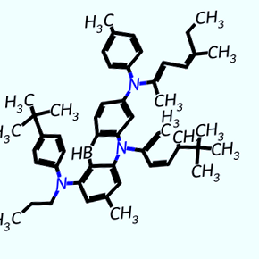 C/C=C(\C=C/C(C)C(C)(C)C)N1c2cc(N(/C(C)=C/C=C(/C)CC)c3ccc(C)cc3)ccc2Bc2c(N(CCC)c3ccc(C(C)(C)C)cc3)cc(C)cc21